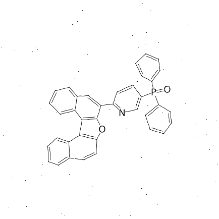 O=P(c1ccccc1)(c1ccccc1)c1ccc(-c2cc3ccccc3c3c2oc2ccc4ccccc4c23)nc1